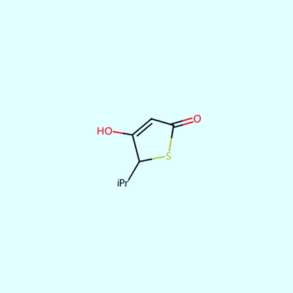 CC(C)C1SC(=O)C=C1O